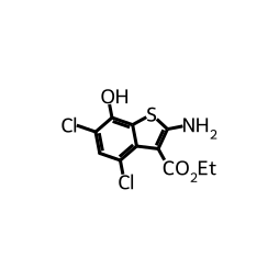 CCOC(=O)c1c(N)sc2c(O)c(Cl)cc(Cl)c12